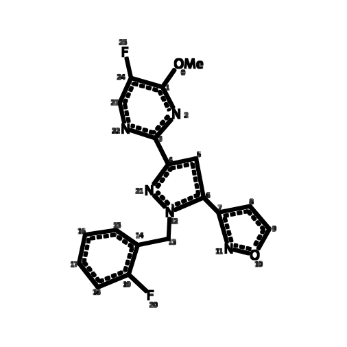 COc1nc(-c2cc(-c3ccon3)n(Cc3ccccc3F)n2)ncc1F